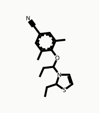 CCC(Oc1c(C)cc(C#N)cc1C)N1C=CSC1CC